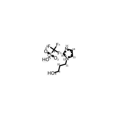 O=S(=O)(O)C(F)(F)F.OCCCn1ccnc1